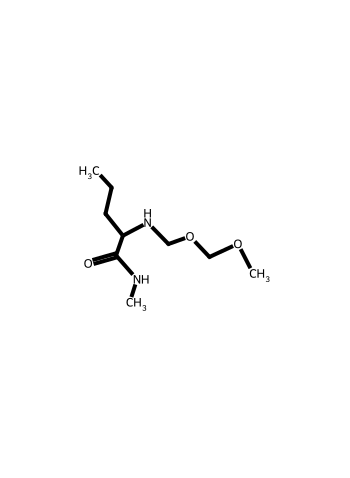 CCCC(NCOCOC)C(=O)NC